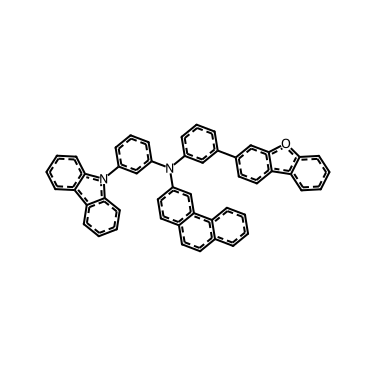 c1cc(-c2ccc3c(c2)oc2ccccc23)cc(N(c2cccc(-n3c4ccccc4c4ccccc43)c2)c2ccc3ccc4ccccc4c3c2)c1